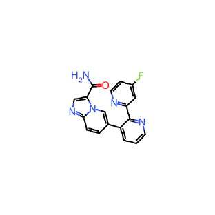 NC(=O)c1cnc2ccc(-c3cccnc3-c3cc(F)ccn3)cn12